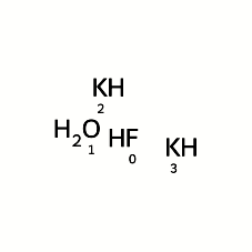 F.O.[KH].[KH]